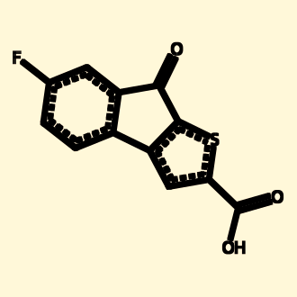 O=C(O)c1cc2c(s1)C(=O)c1cc(F)ccc1-2